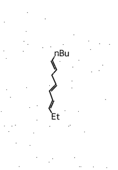 CCC=CC=CCC=CCCCC